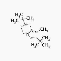 Cc1c(C(C)(C)C)cn2c1CN(C(C)(C)C)CC2